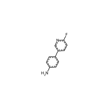 Nc1ccc(-c2ccc(F)nc2)cc1